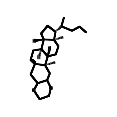 CCCC(C)[C@H]1CC[C@H]2[C@@H]3CC=C4CC5OCCOC5C[C@]4(C)[C@H]3CC[C@]12C